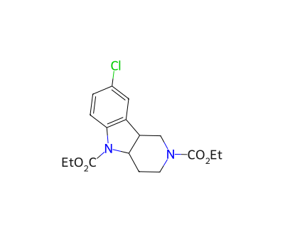 CCOC(=O)N1CCC2C(C1)c1cc(Cl)ccc1N2C(=O)OCC